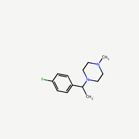 [CH2]C(c1ccc(F)cc1)N1CCN(C)CC1